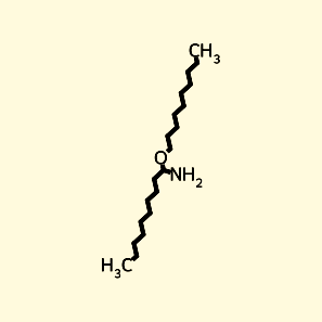 CCCCCCCCCCOC(N)CCCCCCCCC